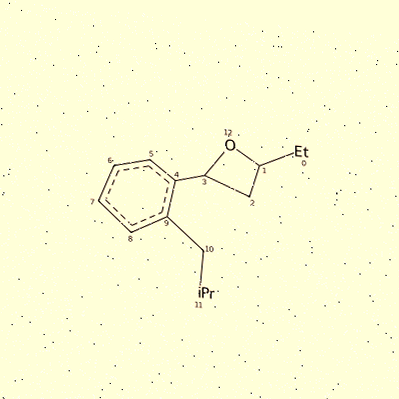 CCC1CC(c2ccccc2CC(C)C)O1